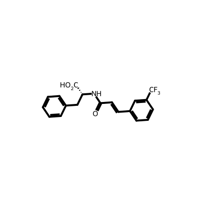 O=C(C=Cc1cccc(C(F)(F)F)c1)N[C@H](Cc1ccccc1)C(=O)O